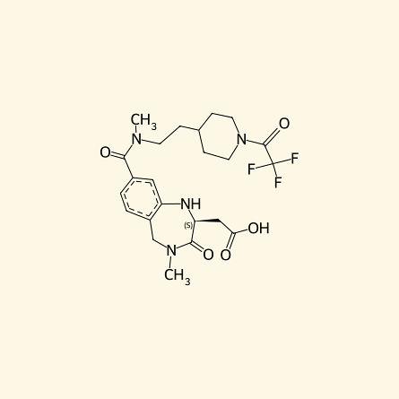 CN(CCC1CCN(C(=O)C(F)(F)F)CC1)C(=O)c1ccc2c(c1)N[C@@H](CC(=O)O)C(=O)N(C)C2